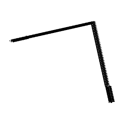 [Fe+3].[Fe+3].[Fe+3].[Fe+3].[Fe+3].[Fe+3].[Fe+3].[Fe+3].[Fe+3].[Fe+3].[Fe+3].[Fe+3].[Fe+3].[Fe+3].[Fe+3].[Fe+3].[Fe+3].[Fe+3].[Fe+3].[Fe+3].[O-2].[O-2].[O-2].[O-2].[O-2].[O-2].[O-2].[O-2].[O-2].[O-2].[O-2].[O-2].[O-2].[O-2].[O-2].[O-2].[O-2].[O-2].[O-2].[O-2].[O-2].[O-2].[O-2].[O-2].[O-2].[O-2].[O-2].[O-2].[O-2].[O-2].[O-2].[O-2].[O-2].[O-2].[O-2].[O-2].[O-2].[O-2].[O-2].[O-2].[O-2].[O-2].[O-2].[O-2].[O-2].[O-2].[O-2].[O-2].[O-2].[O-2].[O-2].[O-2].[O-2].[O-2].[O-2].[O-2].[O-2].[O-2].[O-2].[O-2].[O-2].[O-2].[O-2].[O-2].[O-2].[O-2].[O-2].[O-2].[O-2].[O-2].[O-2].[O-2].[O-2].[O-2].[O-2].[O-2].[O-2].[O-2].[O-2].[O-2]